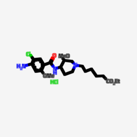 CCOC(=O)CCCCCN1CCC(NC(=O)c2cc(Cl)c(N)cc2OC)C(OC)C1.Cl